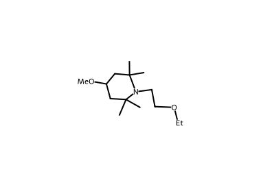 CCOCCN1C(C)(C)CC(OC)CC1(C)C